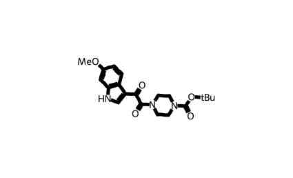 COc1ccc2c(C(=O)C(=O)N3CCN(C(=O)OC(C)(C)C)CC3)c[nH]c2c1